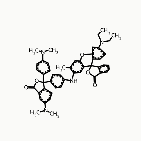 CCN(CC)c1ccc2c(c1)Oc1cc(C)c(Nc3ccc(C4(c5ccc(N(C)C)cc5)OC(=O)c5cc(N(C)C)ccc54)cc3)cc1C21OC(=O)c2ccccc21